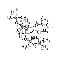 [CH2][Si](O[Si](C)(C)O[Si](C)(C)C)(O[Si](C)(C)O[Si](C)(C)C)O[Si](C)(C)O[Si](C)(C)C